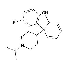 CCC1C=CC=CC1(c1cc(F)ccc1O)C1CCN(C(C)C)CC1